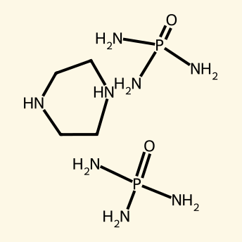 C1CNCCN1.NP(N)(N)=O.NP(N)(N)=O